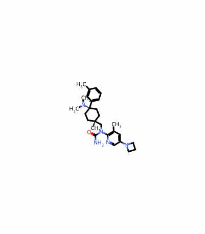 Cc1cccc([C@]2(N(C)C)CC[C@](C)(CN(C(N)=O)c3ncc(N4CCC4)cc3C)CC2)c1